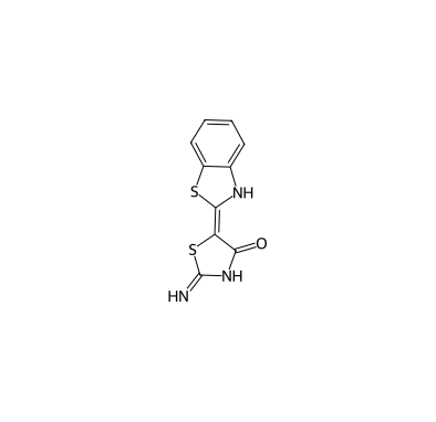 N=C1NC(=O)C(=C2Nc3ccccc3S2)S1